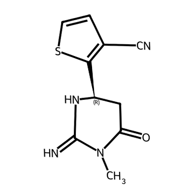 CN1C(=N)N[C@@H](c2sccc2C#N)CC1=O